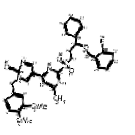 COc1ccc(Cn2cc(-c3cc(C)nc(S(=O)(=O)CCC(OCc4ccccc4F)c4ccccc4)n3)cnc2=O)cc1OC